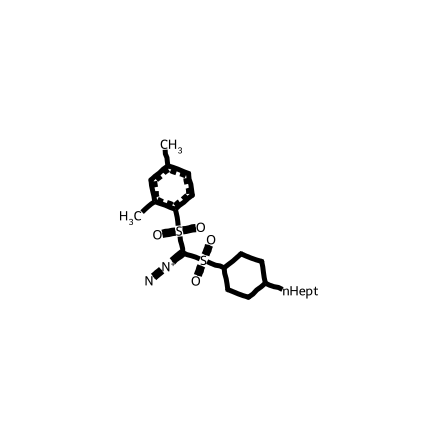 CCCCCCCC1CCC(S(=O)(=O)C(=[N+]=[N-])S(=O)(=O)c2ccc(C)cc2C)CC1